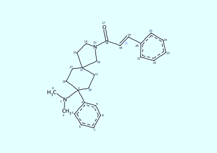 CN(C)C1(c2ccccc2)CCC2(CCN(C(=O)/C=C/c3ccccc3)C2)CC1